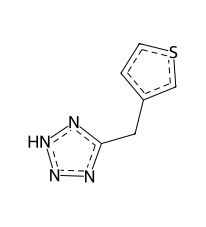 c1cc(Cc2nn[nH]n2)cs1